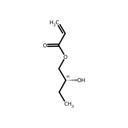 C=CC(=O)OC[C@H](O)CC